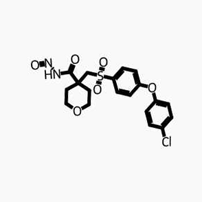 O=NNC(=O)C1(CS(=O)(=O)c2ccc(Oc3ccc(Cl)cc3)cc2)CCOCC1